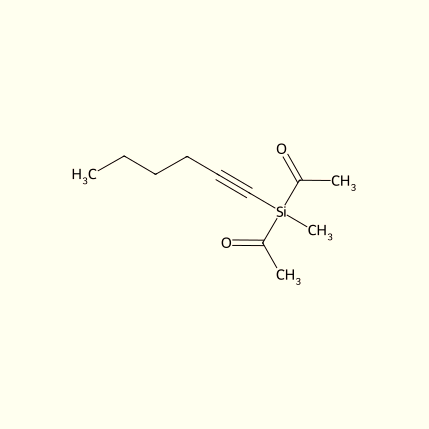 CCCCC#C[Si](C)(C(C)=O)C(C)=O